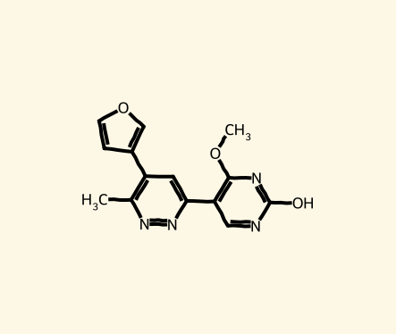 COc1nc(O)ncc1-c1cc(-c2ccoc2)c(C)nn1